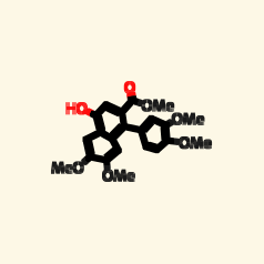 COC(=O)c1cc(O)c2cc(OC)c(OC)cc2c1-c1ccc(OC)c(OC)c1